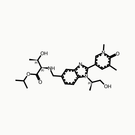 Cc1cc(-c2nc3cc(CN[C@@H](C(=O)OC(C)C)[C@@H](C)O)ccc3n2[C@H](C)CO)cn(C)c1=O